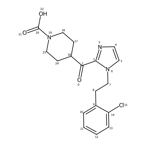 O=C(c1nccn1CCc1ccccc1Cl)C1CCN(C(=O)O)CC1